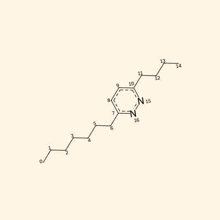 CCCCCCCc1ccc(CCCC)nn1